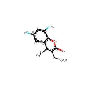 Cc1c(CC(=O)O)c(=O)oc2c(F)cc(F)cc12